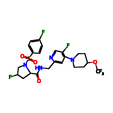 O=C(NCc1cc(N2CCC(OC(F)(F)F)CC2)c(F)cn1)C1CC(F)CN1S(=O)(=O)c1ccc(F)cc1